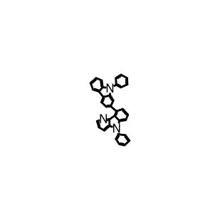 c1ccc(-n2c3ccccc3c3ccc(-c4cccc5c4c4ncccc4n5-c4ccccc4)cc32)cc1